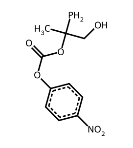 CC(P)(CO)OC(=O)Oc1ccc([N+](=O)[O-])cc1